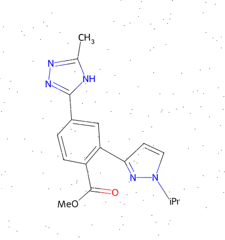 COC(=O)c1ccc(-c2nnc(C)[nH]2)cc1-c1ccn(C(C)C)n1